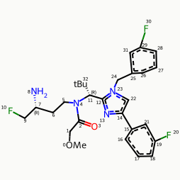 COCC(=O)N(CC[C@@H](N)CF)[C@@H](c1nc(-c2cccc(F)c2)cn1Cc1cccc(F)c1)C(C)(C)C